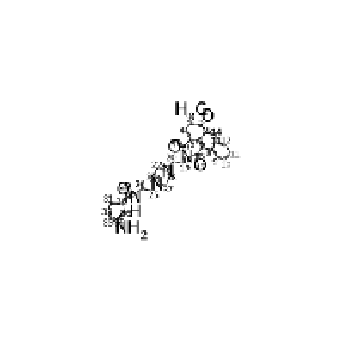 COc1ccc2c3c(c4ccccc4cc13)C(=O)N(CCN1CCN(CCNC(=O)c3cccc(N)c3)CC1)C2=O